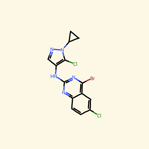 Clc1ccc2nc(Nc3cnn(C4CC4)c3Cl)nc(Br)c2c1